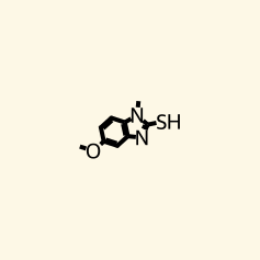 COc1ccc2c(c1)nc(S)n2C